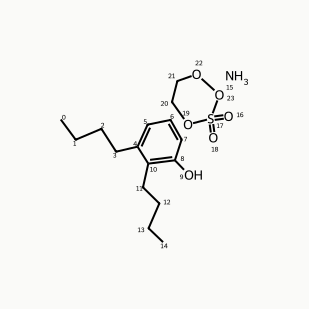 CCCCc1cccc(O)c1CCCC.N.O=S1(=O)OCCOO1